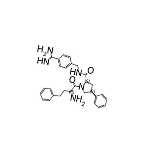 N=C(N)c1ccc(CNC(=O)[C@@H]2C[C@@H](c3ccccc3)CN2C(=O)[C@H](N)CCc2ccccc2)cc1